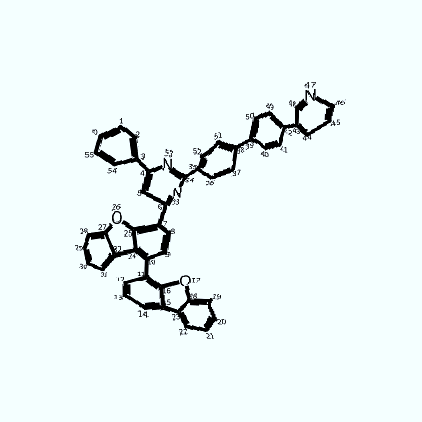 c1ccc(-c2cc(-c3ccc(-c4cccc5c4oc4ccccc45)c4c3oc3ccccc34)nc(-c3ccc(-c4ccc(-c5cccnc5)cc4)cc3)n2)cc1